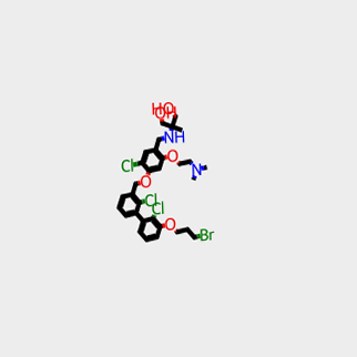 CN(C)CCOc1cc(OCc2cccc(-c3cccc(OCCCBr)c3Cl)c2Cl)c(Cl)cc1CNC(C)(CO)CO